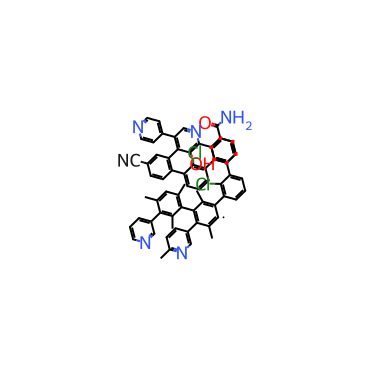 Cc1ccc(-c2c(C)[c]c(-c3cccc(-c4ccc(C(N)=O)cc4-c4cccc(-c5ccc(C#N)cc5-c5c(-c6ccncc6)cnc(-c6ccccc6)c5O)c4Cl)c3Cl)c(C)c2-c2c(C)cc(C)c(-c3cccnc3)c2C)cn1